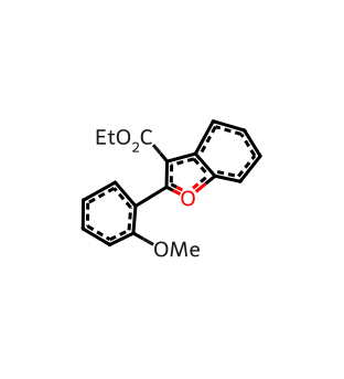 CCOC(=O)c1c(-c2ccccc2OC)oc2ccccc12